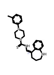 Cc1cccc(N2CCN(C(=S)N/C=C3/CCCNc4ccccc43)CC2)c1